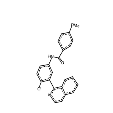 COc1ccc(C(=O)Nc2ccc(Cl)c(-c3nccc4ccccc34)c2)cc1